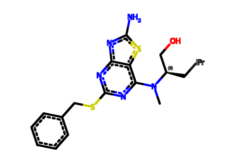 CC(C)C[C@H](CO)N(C)c1nc(SCc2ccccc2)nc2nc(N)sc12